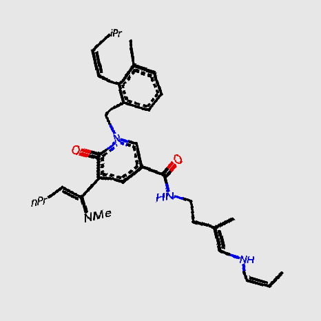 C/C=C\N/C=C(\C)CCNC(=O)c1cc(/C(=C/CCC)NC)c(=O)n(Cc2cccc(C)c2/C=C\C(C)C)c1